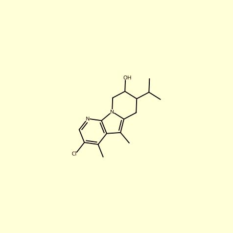 Cc1c(Cl)cnc2c1c(C)c1n2CC(O)C(C(C)C)C1